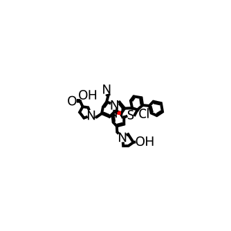 CC1(Cl)C(c2ccccc2)=CC=CC1(Sc1cc(CN2CCC(O)C2)ccn1)c1cc2cc(CN3CCC(C(=O)O)C3)cc(C#N)n2c1